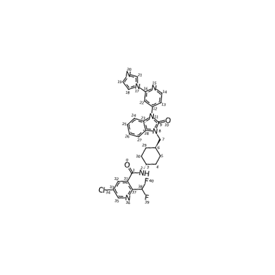 O=C(N[C@H]1CC[C@H](Cn2c(=O)n(-c3ccnc(-n4ccnc4)c3)c3ccccc32)CC1)c1cc(Cl)cnc1C(F)F